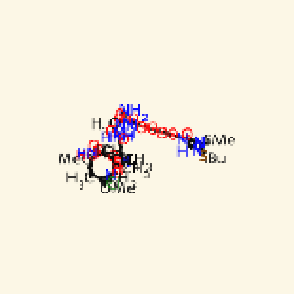 CCC(C)SCc1nc2ccc(C(=O)NCCOCCOCCOCCOCCC(=O)N[C@@H](CC(N)=O)C(=O)N[C@@H](C)C(=O)NNC(=O)CCCCC(=O)N(C)[C@@H](C)C(=O)O[C@H]3CC(=O)N(C)c4cc(cc(OC)c4Cl)C/C(C)=C/C=C/[C@@H](OC)[C@@]4(O)C[C@H](OC(=O)N4)[C@@H](C)[C@@H]4O[C@@]34C)cc2nc1CSC